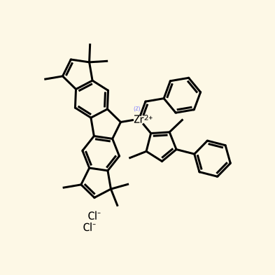 CC1=CC(C)(C)c2cc3c(cc21)-c1cc2c(cc1[CH]3/[Zr+2](=[CH]/c1ccccc1)[C]1=C(C)C(c3ccccc3)=CC1C)C(C)(C)C=C2C.[Cl-].[Cl-]